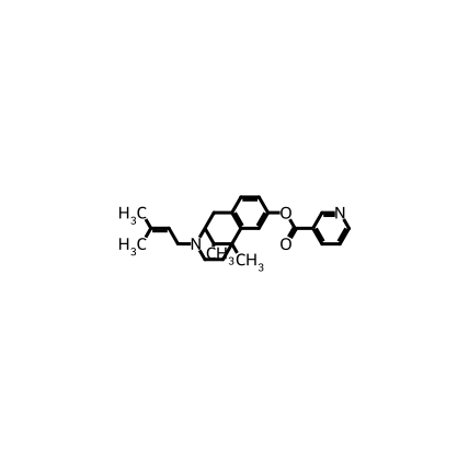 CC(C)=CCN1CCC2(C)c3cc(OC(=O)c4cccnc4)ccc3CC1C2C